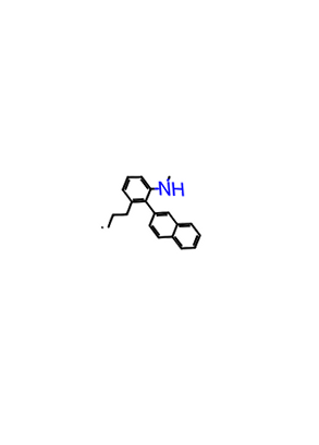 [CH2]CCc1cccc(NC)c1-c1ccc2ccccc2c1